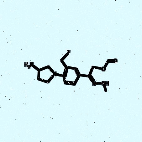 CN/N=C(\COC=O)c1ccc(N2CCC(N)C2)c(CF)c1